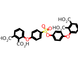 O=C(O)c1cccc(Oc2ccc(OS(=O)(=O)c3ccc(Oc4cccc(C(=O)O)c4C(=O)O)cc3)cc2)c1C(=O)O